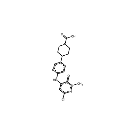 Cn1nc(Cl)cc(Nc2ccc(C3CCN(C(=O)O)CC3)cn2)c1=O